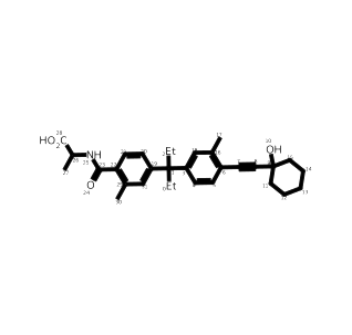 CCC(CC)(c1ccc(C#CC2(O)CCCCC2)c(C)c1)c1ccc(C(=O)NC(C)C(=O)O)c(C)c1